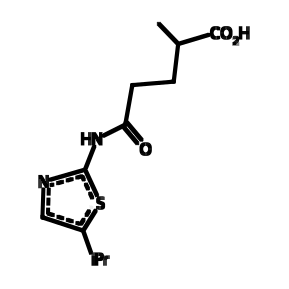 CC(CCC(=O)Nc1ncc(C(C)C)s1)C(=O)O